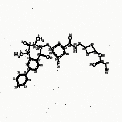 C[C@@H]1C(=O)N(C)c2cc(-c3ccncc3)ccc2C(=O)N1Cc1cc(F)cc(C(=O)NCC2CC(OC(=O)CBr)C2)c1